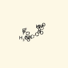 CN(C(=O)N1CCC(c2ccc3c(c2)CN(C2CCC(=O)NC2=O)C3=O)CC1)c1cccc(C(F)(F)F)c1